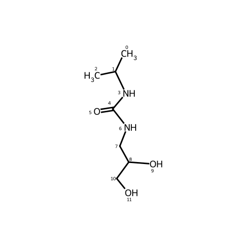 CC(C)NC(=O)NCC(O)CO